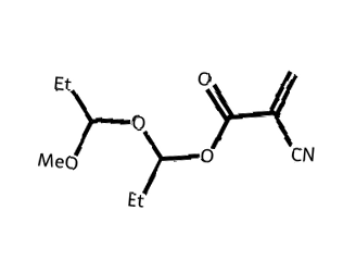 C=C(C#N)C(=O)OC(CC)OC(CC)OC